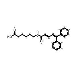 O=C(O)CCCCCNC(=O)/C=C/C=C(c1ccccc1)c1ccccc1